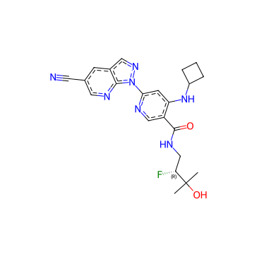 CC(C)(O)[C@H](F)CNC(=O)c1cnc(-n2ncc3cc(C#N)cnc32)cc1NC1CCC1